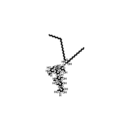 CCCCCCCC/C=C\CCCCCCCCCCCCCC(=O)N[C@@H](CO[C@@H]1OC(CO)[C@@H](O[C@@H]2OC(CO)[C@H](O[C@@H]3OC(CO)[C@H](O)[C@H](O)C3NC(C)=O)[C@H](O[C@@H]3OC(CO)[C@@H](O[C@@H]4OC(CO)[C@H](O)[C@H](O[C@H]5OC(CO)[C@H](O)[C@H](O)C5O)C4O)[C@H](O)C3NC(C)=O)C2O)[C@H](O)C1O)[C@H](O)/C=C/CCCCCCCCCCCCC